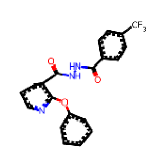 O=C(NNC(=O)c1cccnc1Oc1ccccc1)c1ccc(C(F)(F)F)cc1